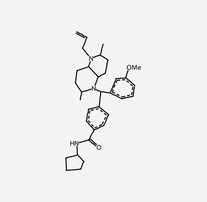 C=CCN1C(C)CCC2C1CCC(C)N2C(c1ccc(C(=O)NC2CCCC2)cc1)c1cccc(OC)c1